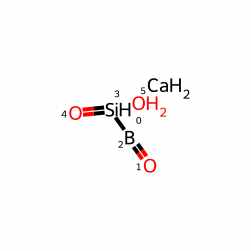 O.O=B[SiH]=O.[CaH2]